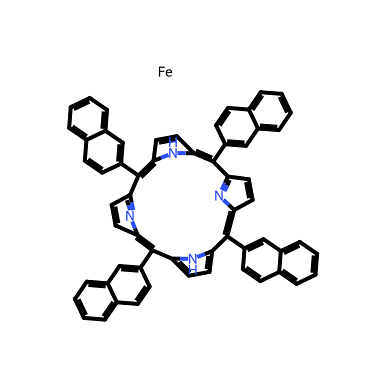 C1=Cc2nc1c(-c1ccc3ccccc3c1)c1ccc([nH]1)c(-c1ccc3ccccc3c1)c1nc(c(-c3ccc4ccccc4c3)c3ccc([nH]3)c2-c2ccc3ccccc3c2)C=C1.[Fe]